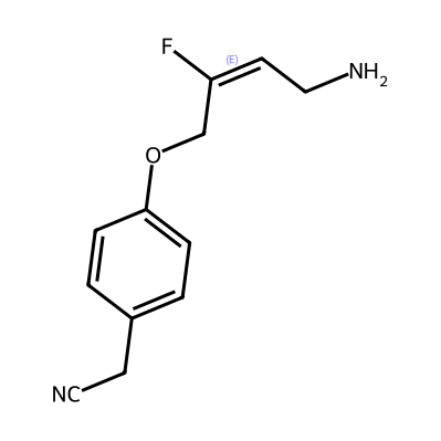 N#CCc1ccc(OC/C(F)=C\CN)cc1